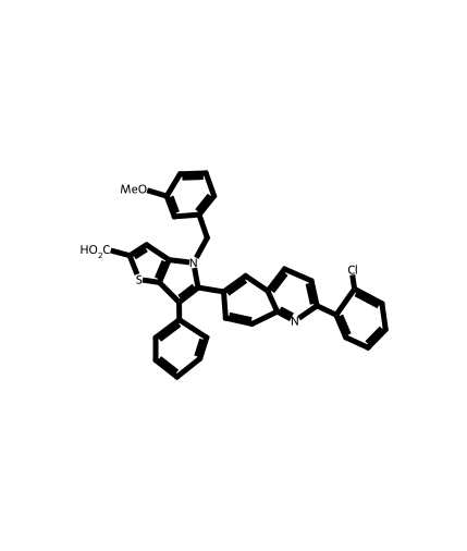 COc1cccc(Cn2c(-c3ccc4nc(-c5ccccc5Cl)ccc4c3)c(-c3ccccc3)c3sc(C(=O)O)cc32)c1